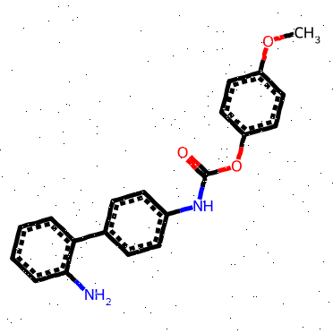 COc1ccc(OC(=O)Nc2ccc(-c3ccccc3N)cc2)cc1